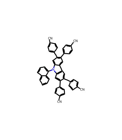 N#Cc1ccc(-c2cc3c4cc(-c5ccc(C#N)cc5)c(-c5ccc(C#N)cc5)cc4n(-c4cccc5ccccc45)c3cc2-c2ccc(C#N)cc2)cc1